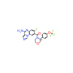 Nc1nc2cc(F)c(C(=O)N3CCOC[C@@H]3c3ccc(OC(F)(F)F)cc3)cc2n2cncc12